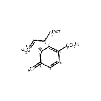 C=CCCCCCCCCC.O=C(O)c1ccc(=O)oc1